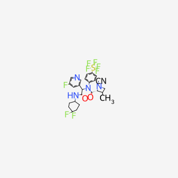 C[C@@H]1CN(C#N)[C@H]1C(=O)N(c1ccc(S(F)(F)(F)(F)F)cc1)C(C(=O)NC1CCC(F)(F)CC1)c1cncc(F)c1